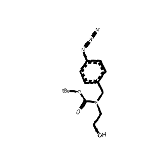 CC(C)(C)OC(=O)N(CCO)Cc1ccc(N=[N+]=[N-])cc1